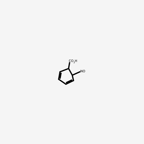 O=NC1C=CC=CC1C(=O)O